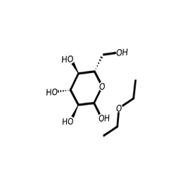 CCOCC.OC[C@@H]1OC(O)[C@@H](O)[C@H](O)[C@H]1O